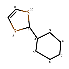 C1=CSC(C2CCCCC2)S1